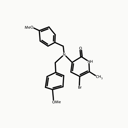 COc1ccc(CN(Cc2ccc(OC)cc2)c2cc(Br)c(C)[nH]c2=O)cc1